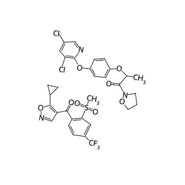 CC(Oc1ccc(Oc2ncc(Cl)cc2Cl)cc1)C(=O)N1CCCO1.CS(=O)(=O)c1cc(C(F)(F)F)ccc1C(=O)c1cnoc1C1CC1